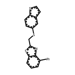 CC(C)c1cccc2sc(CSc3ccc4sccc4c3)nc12